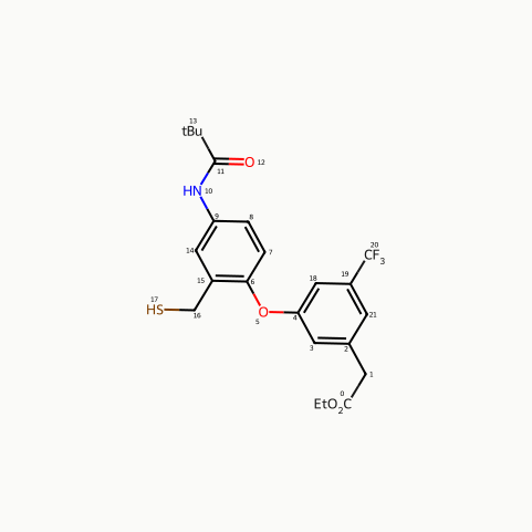 CCOC(=O)Cc1cc(Oc2ccc(NC(=O)C(C)(C)C)cc2CS)cc(C(F)(F)F)c1